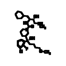 CNC[C@@H](O)[C@H](CC1CCCCC1)NC(=O)N1CCCC([C@@](O)(CCCCOC)c2cccc(Cl)c2F)C1